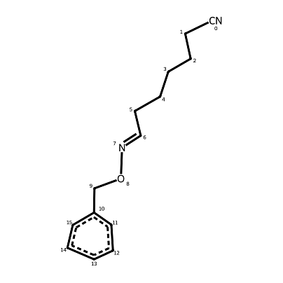 N#CCCCCCC=NOCc1ccccc1